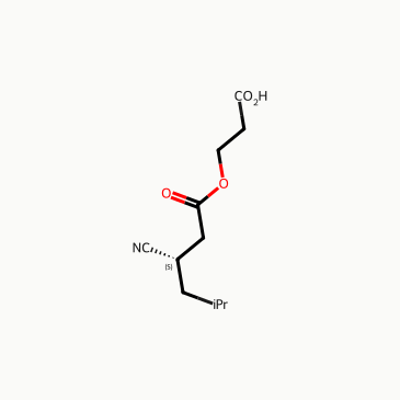 CC(C)C[C@H](C#N)CC(=O)OCCC(=O)O